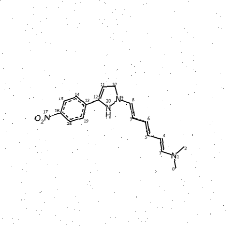 CN(C)C=CC=CC=CN1CC=C(c2ccc([N+](=O)[O-])cc2)N1